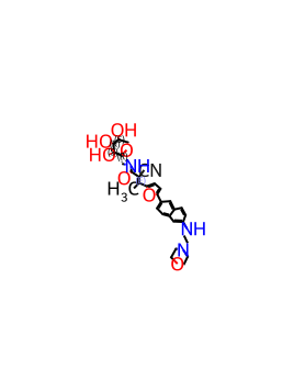 C/C(=C(/C#N)C(=O)NC[C@H]1OC[C@H](O)[C@@H](O)[C@@H]1O)c1ccc(-c2ccc3cc(NCCN4CCOCC4)ccc3c2)o1